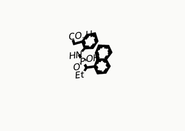 CCC(c1cccc2ccccc12)P(=O)(O)Nc1ccccc1CC(=O)O